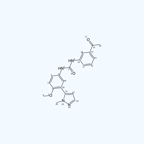 COc1ccc(NC(=O)Nc2cccc(C(C)=O)c2)cc1-c1ccnn1C